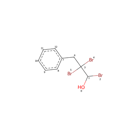 OC(Br)C(Br)(Br)Cc1ccccc1